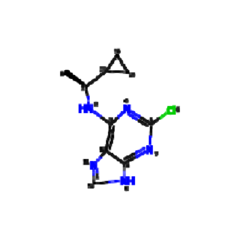 C[C@H](Nc1nc(Cl)nc2[nH]cnc12)C1CC1